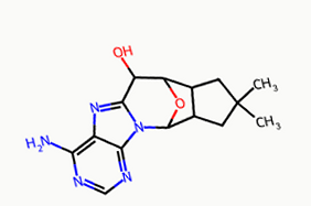 CC1(C)CC2C(C1)C1OC2C(O)c2nc3c(N)ncnc3n21